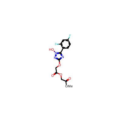 COC(=O)COC(=O)COc1nc(-c2ccc(F)cc2F)n(O)n1